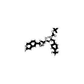 CC(C)(C)OC(=O)N[C@H](CNc1nnc(-c2ccc3cnc(F)cc3c2)s1)Cc1ccc(C(F)(F)F)cc1